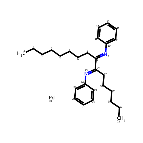 CCCCCCCCC(=N\c1ccccc1)/C(CCCCCC)=N/c1ccccc1.[Pd]